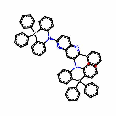 c1ccc(-c2nc3ccc(N4c5ccccc5[Si](c5ccccc5)(c5ccccc5)c5ccccc54)nc3cc2N2c3ccccc3[Si](c3ccccc3)(c3ccccc3)c3ccccc32)cc1